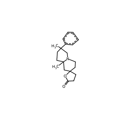 CC1(c2ccccc2)CCC2(C)CC3(CCC(=O)O3)CCN2C1